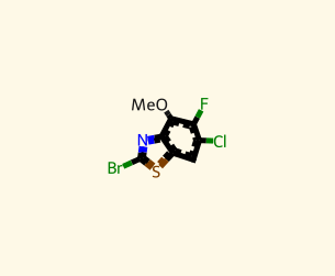 COc1c(F)c(Cl)cc2sc(Br)nc12